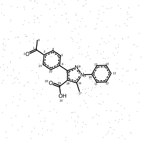 CC(=O)c1ccc(-c2nn(-c3ccccc3)c(C)c2C(=O)O)cc1